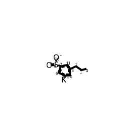 CCCc1cccc(S(=O)[O-])c1.[K+]